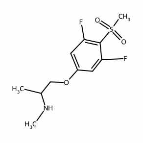 CNC(C)COc1cc(F)c(S(C)(=O)=O)c(F)c1